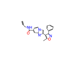 C#CCNC(=O)c1ccn2cc(-c3c(-c4ccccc4)noc3C)nc2c1